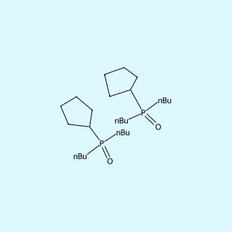 CCCCP(=O)(CCCC)C1CCCC1.CCCCP(=O)(CCCC)C1CCCC1